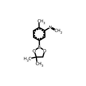 C=Nc1cc(B2OCC(C)(C)O2)ccc1C